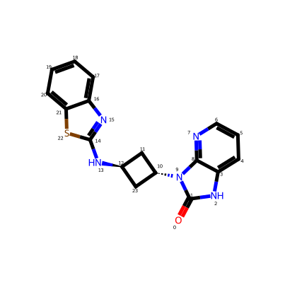 O=c1[nH]c2cccnc2n1[C@H]1C[C@H](Nc2nc3ccccc3s2)C1